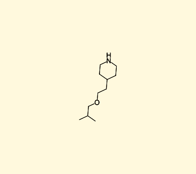 CC(C)COCCC1CCNCC1